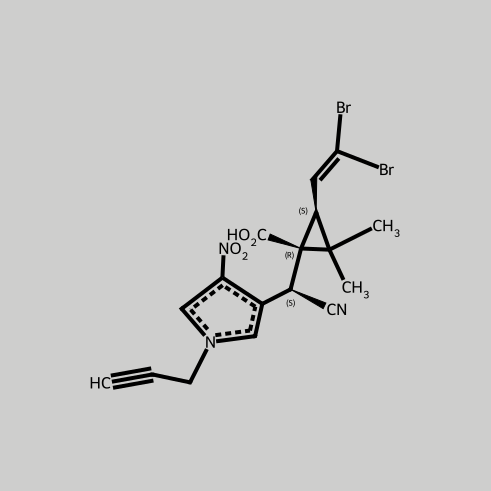 C#CCn1cc([C@H](C#N)[C@]2(C(=O)O)[C@@H](C=C(Br)Br)C2(C)C)c([N+](=O)[O-])c1